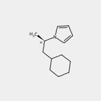 C[C@H](CC1CCCCC1)n1cccc1